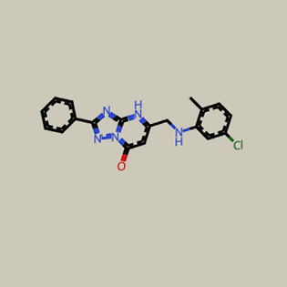 Cc1ccc(Cl)cc1NCc1cc(=O)n2nc(-c3ccccc3)nc2[nH]1